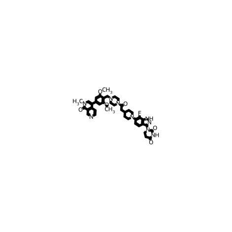 COc1cc(-c2cn(C)c(=O)c3cnccc23)cc(OC)c1CN1CCN(C(=O)CC2CCN(c3ccc4c(N5CCC(=O)NC5=O)n[nH]c4c3F)CC2)CC1